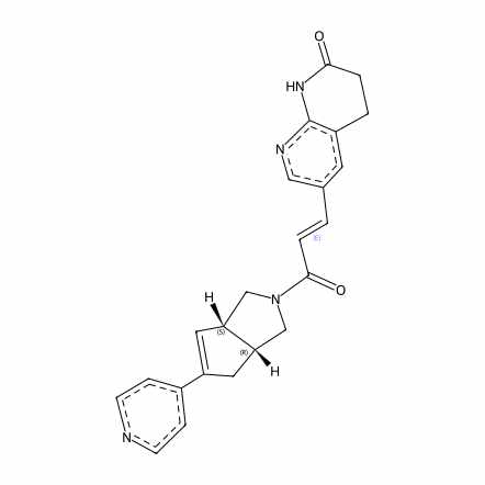 O=C1CCc2cc(/C=C/C(=O)N3C[C@@H]4CC(c5ccncc5)=C[C@@H]4C3)cnc2N1